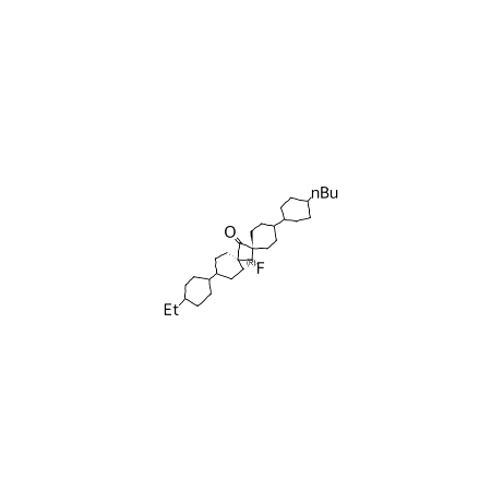 CCCCC1CCC(C2CC[C@]3(CC2)C(=O)[C@@]2(CCC(C4CCC(CC)CC4)CC2)[C@H]3F)CC1